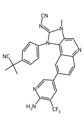 Cn1c(=NC#N)n(-c2ccc(C(C)(C)C#N)cc2)c2c3cc(-c4cnc(N)c(C(F)(F)F)c4)ccc3ncc21